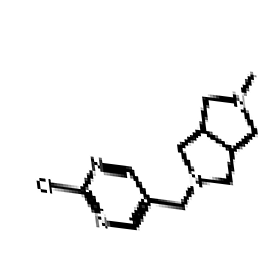 CN1CC2CN(Cc3cnc(Cl)nc3)CC2C1